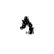 CCN1C(=O)N(Cc2ccc(OC)cc2)c2c(F)c(CN3CCN(c4ccc(C(=O)NC)nc4C)CC3)cc3nc(OC)nc1c23